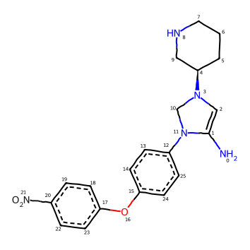 NC1=CN([C@@H]2CCCNC2)CN1c1ccc(Oc2ccc([N+](=O)[O-])cc2)cc1